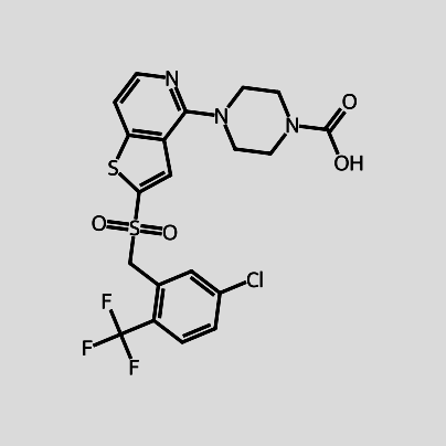 O=C(O)N1CCN(c2nccc3sc(S(=O)(=O)Cc4cc(Cl)ccc4C(F)(F)F)cc23)CC1